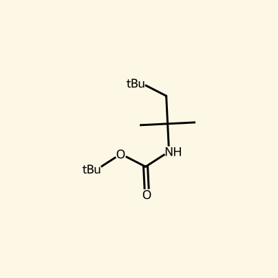 CC(C)(C)CC(C)(C)NC(=O)OC(C)(C)C